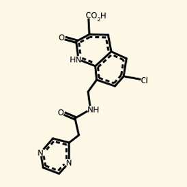 O=C(Cc1cnccn1)NCc1cc(Cl)cc2cc(C(=O)O)c(=O)[nH]c12